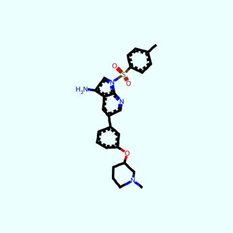 Cc1ccc(S(=O)(=O)n2cc(N)c3cc(-c4cccc(OC5CCCN(C)C5)c4)cnc32)cc1